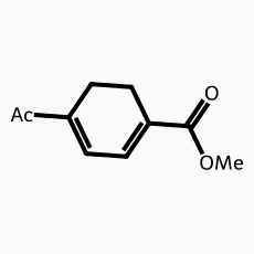 COC(=O)C1=CC=C(C(C)=O)CC1